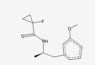 COc1cccc(C[C@@H](C)NC(=O)C2(F)CC2)c1